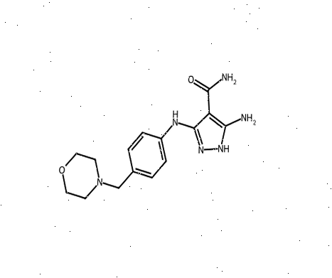 NC(=O)c1c(Nc2ccc(CN3CCOCC3)cc2)n[nH]c1N